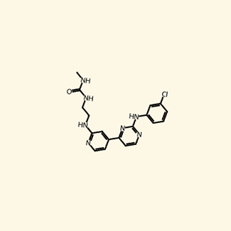 CNC(=O)NCCNc1cc(-c2ccnc(Nc3cccc(Cl)c3)n2)ccn1